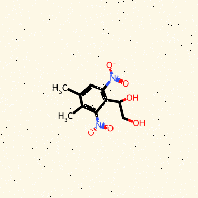 Cc1cc([N+](=O)[O-])c(C(O)CO)c([N+](=O)[O-])c1C